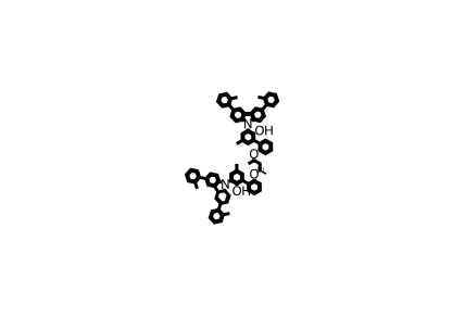 Cc1cc(-c2ccccc2O[C@H](C)CC(C)Oc2ccccc2-c2cc(C)cc(-n3c4ccc(-c5ccccc5C)cc4c4cc(-c5ccccc5C)ccc43)c2O)c(O)c(N2c3ccc(-c4ccccc4C)cc3C3C=C(c4ccccc4C)C=CC32)c1